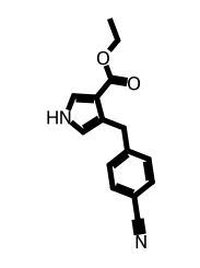 CCOC(=O)c1c[nH]cc1Cc1ccc(C#N)cc1